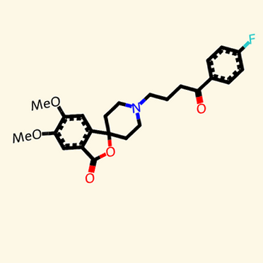 COc1cc2c(cc1OC)C1(CCN(CCCC(=O)c3ccc(F)cc3)CC1)OC2=O